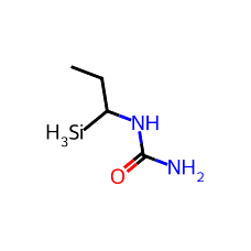 CCC([SiH3])NC(N)=O